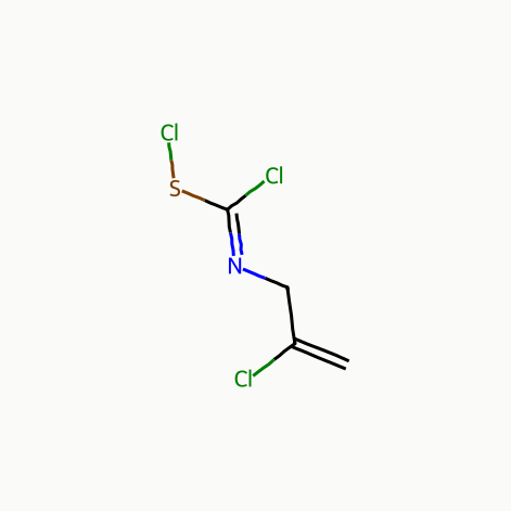 C=C(Cl)C/N=C(\Cl)SCl